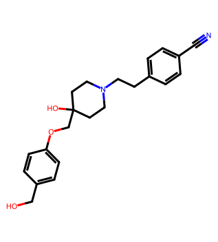 N#Cc1ccc(CCN2CCC(O)(COc3ccc(CO)cc3)CC2)cc1